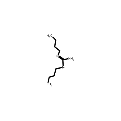 CCCC[N]C(N)=NCCCC